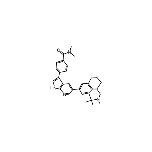 CN(C)C(=O)c1ccc(-c2c[nH]c3ncc(-c4cc5c6c(c4)C(C)(C)N(C)CC6CCC5)cc23)cc1